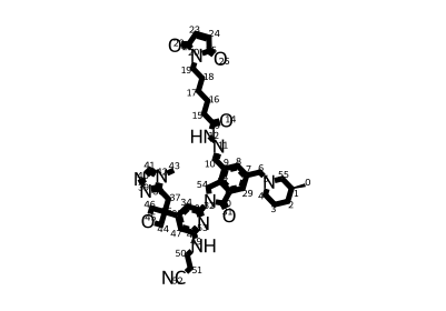 C[C@H]1CCCN(Cc2cc(/C=N/NC(=O)CCCCCN3C(=O)C=CC3=O)c3c(c2)C(=O)N(c2cc(C4(Cc5nncn5C)COC4)cc(NCCC#N)n2)C3)C1